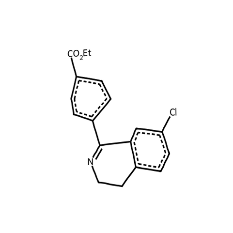 CCOC(=O)c1ccc(C2=NCCc3ccc(Cl)cc32)cc1